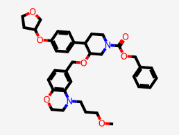 COCCCN1CCOc2ccc(COC3CN(C(=O)OCc4ccccc4)CCC3c3ccc(OC4CCOC4)cc3)cc21